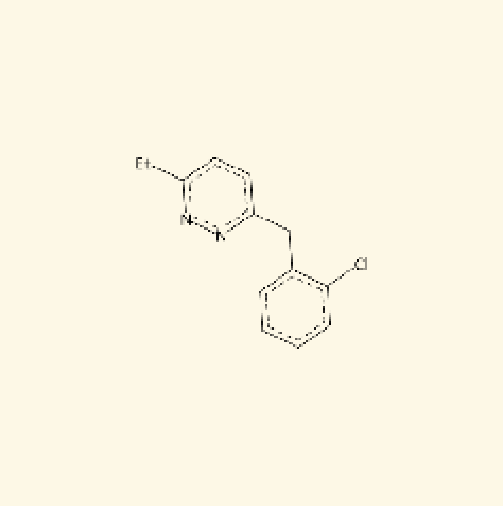 CCc1ccc(Cc2ccccc2Cl)nn1